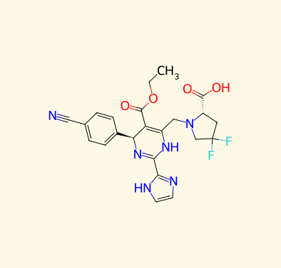 CCOC(=O)C1=C(CN2CC(F)(F)C[C@H]2C(=O)O)NC(c2ncc[nH]2)=N[C@H]1c1ccc(C#N)cc1